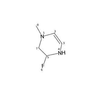 CN1C=CNC(F)C1